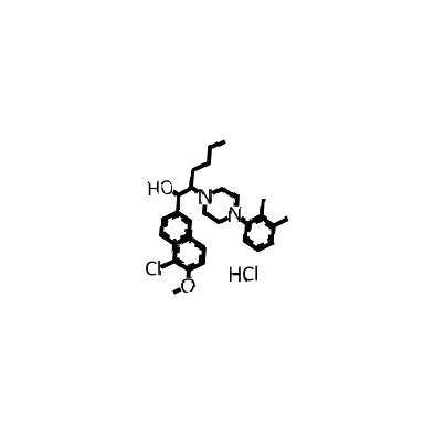 CCCCC(C(O)c1ccc2c(Cl)c(OC)ccc2c1)N1CCN(c2cccc(C)c2C)CC1.Cl